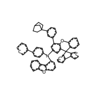 c1ccc(-c2ccc(N(c3cc(-c4cccc(C56CCC(CC5)C6)c4)c4c(c3)C3(c5ccccc5O4)c4ccccc4-c4ccccc43)c3cccc4oc5ccccc5c34)cc2)cc1